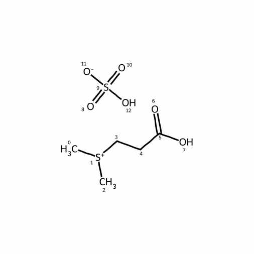 C[S+](C)CCC(=O)O.O=S(=O)([O-])O